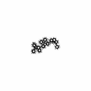 c1ccc(-c2ccc3ccc4ccc(-c5ccc6c(c5)C(c5ccccc5)(c5ccccc5)c5cc(-c7cc8c9cnccc9n(-c9ccccc9)c8c8ccccc78)ccc5-6)nc4c3n2)cc1